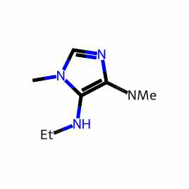 CCNc1c(NC)ncn1C